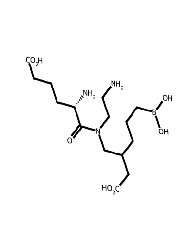 NCCN(CC(CCCB(O)O)CC(=O)O)C(=O)[C@@H](N)CCCC(=O)O